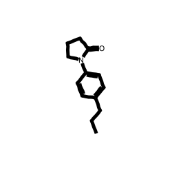 CCCc1ccc(N2CCCC2=O)cc1